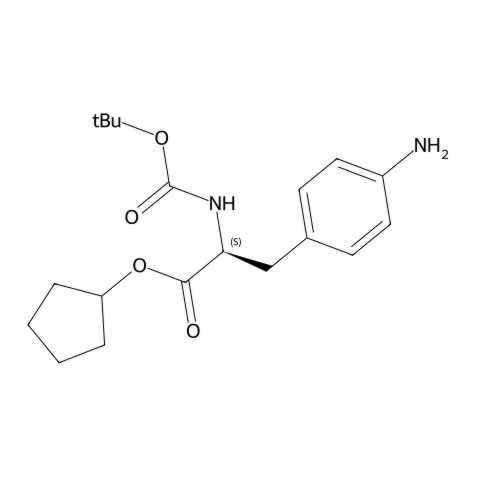 CC(C)(C)OC(=O)N[C@@H](Cc1ccc(N)cc1)C(=O)OC1CCCC1